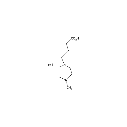 CN1CCN(CCCC(=O)O)CC1.Cl